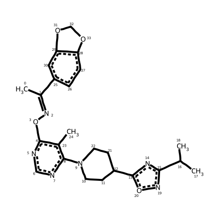 CC(=NOc1ncnc(N2CCC(c3nc(C(C)C)no3)CC2)c1C)c1ccc2c(c1)OCO2